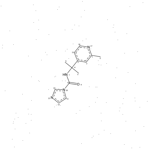 Cc1cc(C(C)(C)NC(=O)n2ccnc2)ccn1